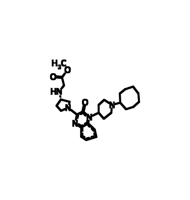 COC(=O)CN[C@H]1CCN(c2nc3ccccc3n(C3CCN(C4CCCCCCC4)CC3)c2=O)C1